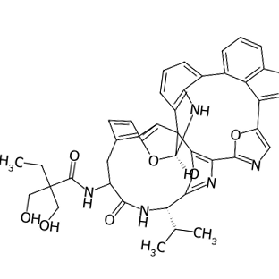 CCC(CO)(CO)C(=O)NC1Cc2ccc3c(c2)C24c5cccc(c5N[C@H]2O3)-c2cccc3c2C(=CC3)c2cnc(o2)-c2nc(oc24)[C@H](C(C)C)NC1=O